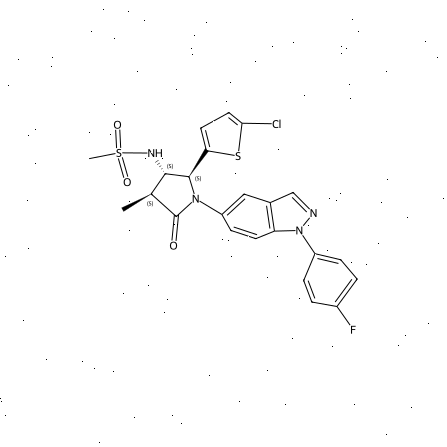 C[C@@H]1C(=O)N(c2ccc3c(cnn3-c3ccc(F)cc3)c2)[C@H](c2ccc(Cl)s2)[C@H]1NS(C)(=O)=O